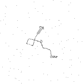 C#CC1(OCCOC)CCC1